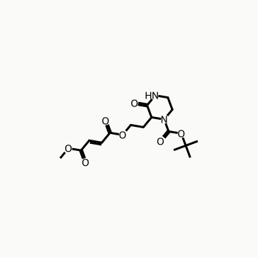 COC(=O)/C=C/C(=O)OCCC1C(=O)NCCN1C(=O)OC(C)(C)C